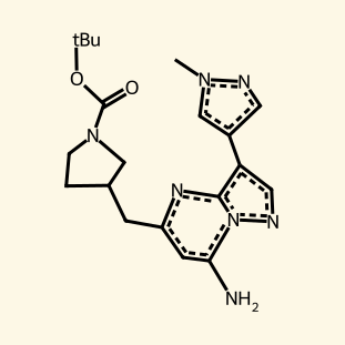 Cn1cc(-c2cnn3c(N)cc(CC4CCN(C(=O)OC(C)(C)C)C4)nc23)cn1